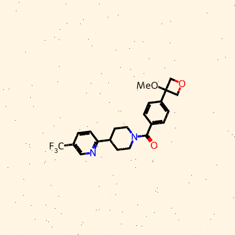 COC1(c2ccc(C(=O)N3CCC(c4ccc(C(F)(F)F)cn4)CC3)cc2)COC1